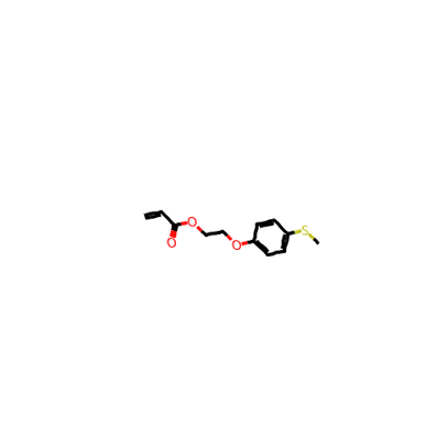 C=CC(=O)OCCOc1ccc(SC)cc1